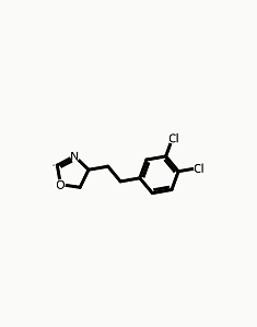 Clc1ccc(CCC2CO[C]=N2)cc1Cl